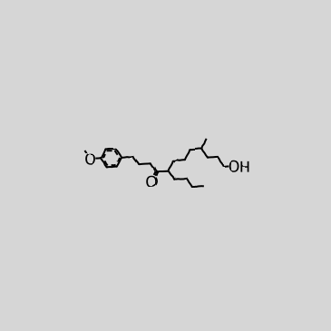 CCCCC(CCCC(C)CCCO)C(=O)CCCc1ccc(OC)cc1